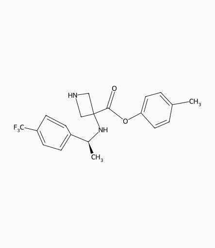 Cc1ccc(OC(=O)C2(N[C@@H](C)c3ccc(C(F)(F)F)cc3)CNC2)cc1